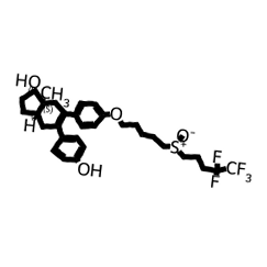 C[C@]12CC(c3ccc(OCCCCC[S+]([O-])CCCC(F)(F)C(F)(F)F)cc3)=C(c3ccc(O)cc3)C[C@@H]1CC[C@@H]2O